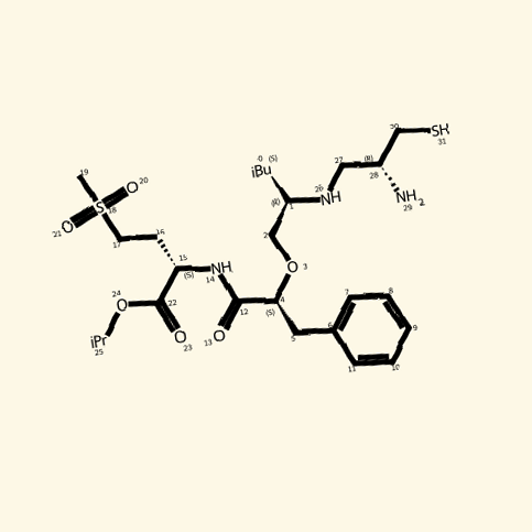 CC[C@H](C)[C@H](CO[C@@H](Cc1ccccc1)C(=O)N[C@@H](CCS(C)(=O)=O)C(=O)OC(C)C)NC[C@@H](N)CS